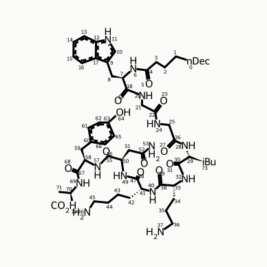 CCCCCCCCCCCCCC(=O)N[C@H](Cc1c[nH]c2ccccc12)C(=O)NCC(=O)NCC(=O)N[C@@H](C(=O)N[C@H](CCCN)C(=O)N[C@H](CCCCN)C(=O)N[C@H](CC(N)=O)C(=O)N[C@H](Cc1ccc(O)cc1)C(=O)N[C@H](C)C(=O)O)[C@H](C)CC